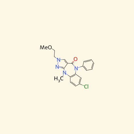 COCCn1cc2c(n1)N(C)c1ccc(Cl)cc1N(c1ccccc1)C2=O